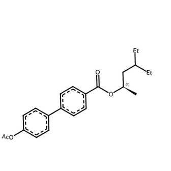 CCC(CC)C[C@@H](C)OC(=O)c1ccc(-c2ccc(OC(C)=O)cc2)cc1